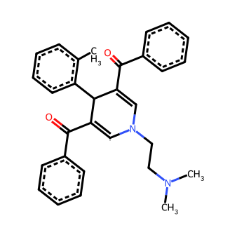 Cc1ccccc1C1C(C(=O)c2ccccc2)=[C]N(CCN(C)C)C=C1C(=O)c1ccccc1